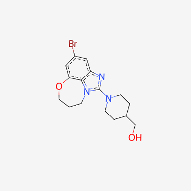 OCC1CCN(c2nc3cc(Br)cc4c3n2CCCO4)CC1